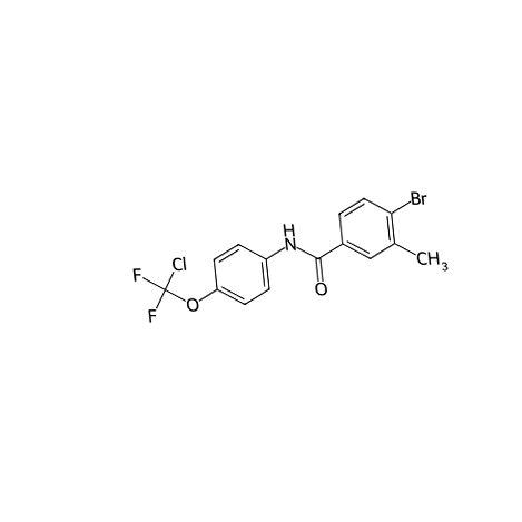 Cc1cc(C(=O)Nc2ccc(OC(F)(F)Cl)cc2)ccc1Br